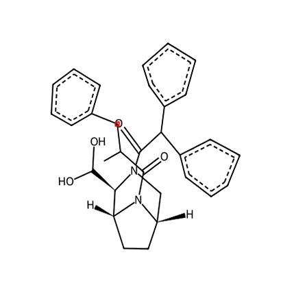 CC(Cc1ccccc1)C(=O)N1[C@H]2CC[C@@H]1[C@@H](C(O)O)N(C(=O)C(c1ccccc1)c1ccccc1)C2